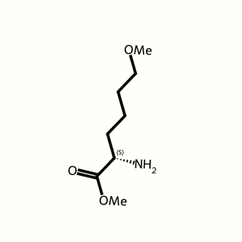 COCCCC[C@H](N)C(=O)OC